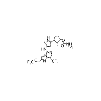 CC(C)NC(=O)O[C@@H]1CC[C@H](c2cc(Nc3ncc(C(F)(F)F)c4nc(COC(F)(F)F)cn34)n[nH]2)[C@@H]1F